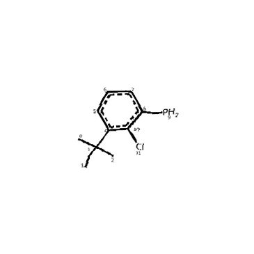 CC(C)(C)c1cccc(P)c1Cl